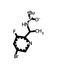 CC(N[S+]([O-])C(C)(C)C)c1ncc(Br)cc1F